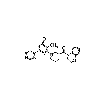 Cn1c(N2CCCC(C(=O)N3CCOc4ccccc43)C2)nc(-c2ccncn2)cc1=O